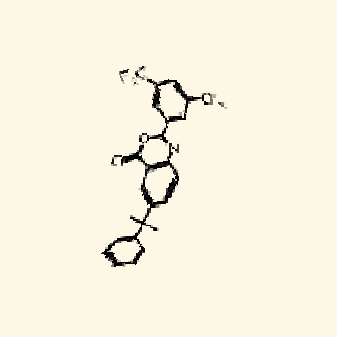 CC(C)(c1ccccc1)c1ccc2nc(-c3cc(C(F)(F)F)cc(C(F)(F)F)c3)oc(=O)c2c1